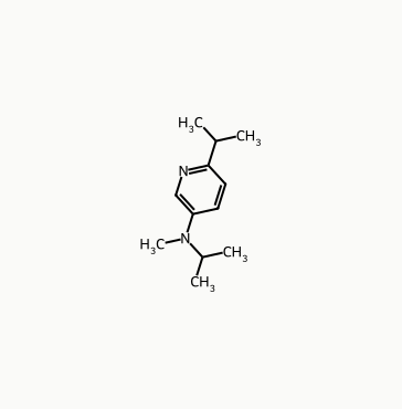 CC(C)c1ccc(N(C)C(C)C)cn1